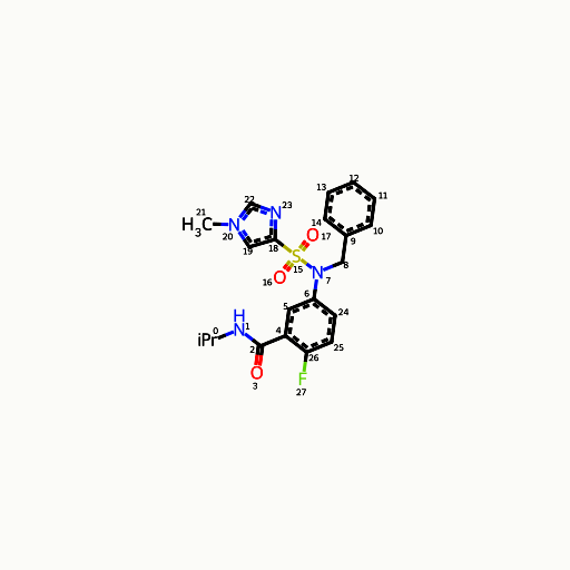 CC(C)NC(=O)c1cc(N(Cc2ccccc2)S(=O)(=O)c2cn(C)cn2)ccc1F